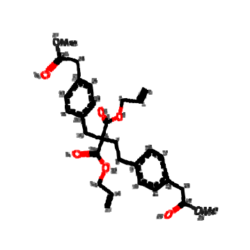 C=CCOC(=O)C(CCc1ccc(CC(=O)OC)cc1)(Cc1ccc(CC(=O)OC)cc1)C(=O)OCC=C